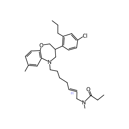 CCCc1cc(Cl)ccc1C1COc2ccc(C)cc2N(CCCC/C=C/CN(C)C(=O)CC)C1